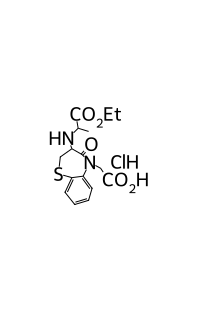 CCOC(=O)C(C)NC1CSc2ccccc2N(CC(=O)O)C1=O.Cl